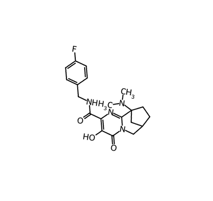 CN(C)C12CCC(Cn3c1nc(C(=O)NCc1ccc(F)cc1)c(O)c3=O)C2